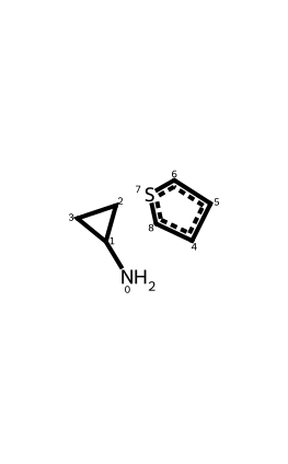 NC1CC1.c1ccsc1